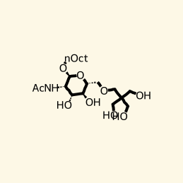 CCCCCCCCO[C@H]1O[C@H](COCC(CO)(CO)CO)[C@@H](O)[C@H](O)[C@@H]1NC(C)=O